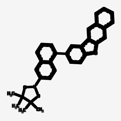 CC1(C)OB(c2ccc3c(-c4ccc5oc6cc7ccccc7cc6c5c4)cccc3c2)OC1(C)C